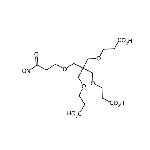 O=NC(=O)CCOCC(COCCC(=O)O)(COCCC(=O)O)COCCC(=O)O